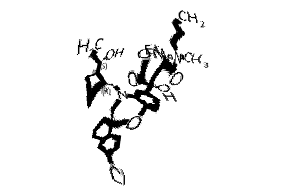 C=CCCN(C)C(=O)[C@H](CC)[C@](O)(C(=O)OC)c1ccc2c(c1)N(C[C@@H]1CC[C@H]1[C@@H](O)C=C)C[C@@]1(CCCc3cc(Cl)ccc31)CO2